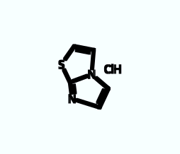 Cl.c1cn2ccsc2n1